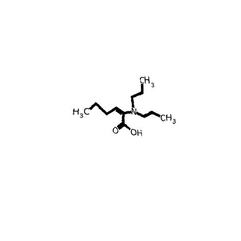 CCC/C=C(\C(=O)O)N(CCC)CCC